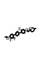 CCOc1ccc(-c2ccc(-c3ccc(OCC4CCC(C)CO4)cc3F)cc2)c(F)c1F